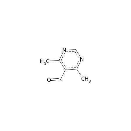 Cc1ncnc(C)c1[C]=O